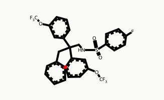 O=S(=O)(NCC(Cc1ccccc1)(c1cccc(OC(F)(F)F)c1)c1cccc(OC(F)(F)F)c1)c1ccc(F)cc1